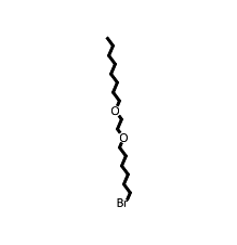 CCCCCCCCOCCOCCCCCCBr